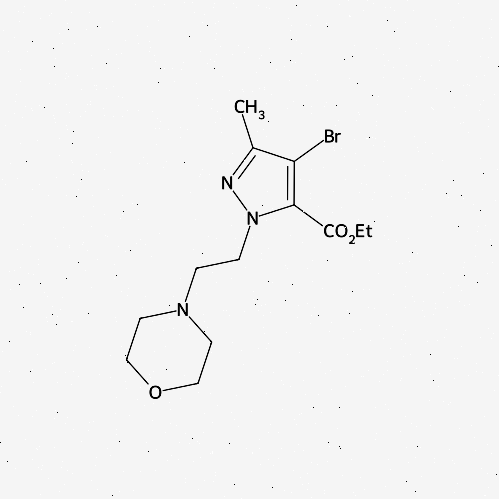 CCOC(=O)c1c(Br)c(C)nn1CCN1CCOCC1